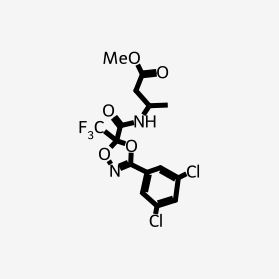 COC(=O)CC(C)NC(=O)C1(C(F)(F)F)ON=C(c2cc(Cl)cc(Cl)c2)O1